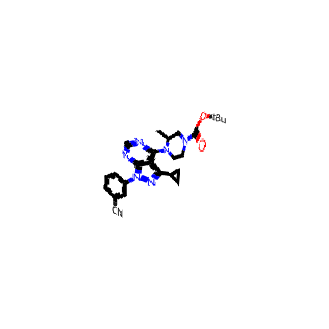 CC1CN(C(=O)OC(C)(C)C)CCN1c1ncnc2c1c(C1CC1)nn2-c1cccc(C#N)c1